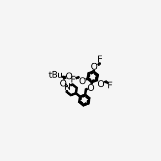 CC(C)(C)C(=O)ON1CCC(c2ccccc2COc2c(OCF)cc(OCF)cc2OCF)CC1